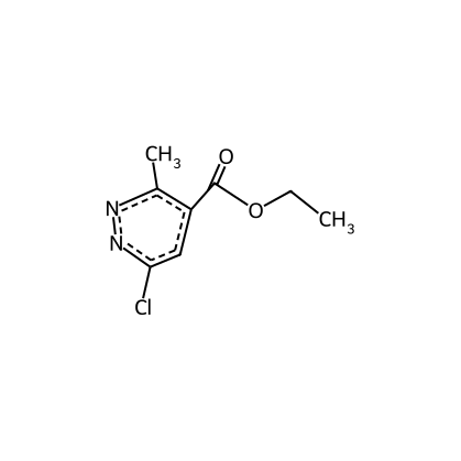 CCOC(=O)c1cc(Cl)nnc1C